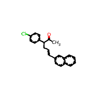 CC(=O)C(CC=Cc1ccc2ccccc2c1)c1ccc(Cl)cc1